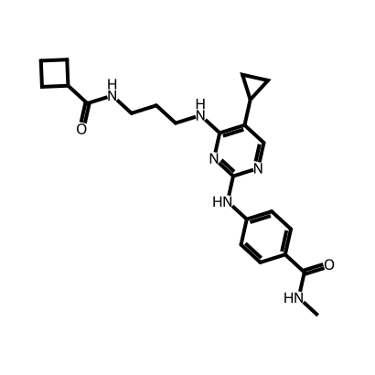 CNC(=O)c1ccc(Nc2ncc(C3CC3)c(NCCCNC(=O)C3CCC3)n2)cc1